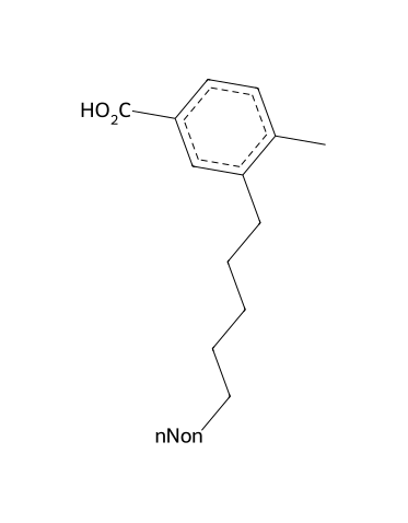 CCCCCCCCCCCCCCc1cc(C(=O)O)ccc1C